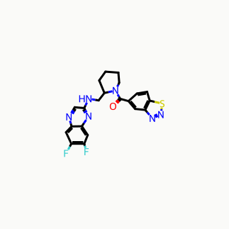 O=C(c1ccc2snnc2c1)N1CCCCC1CNc1cnc2cc(F)c(F)cc2n1